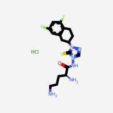 Cl.NCCC[C@H](N)C(=O)Nn1cnn(C2CCc3c(F)cc(F)cc3C2)c1=S